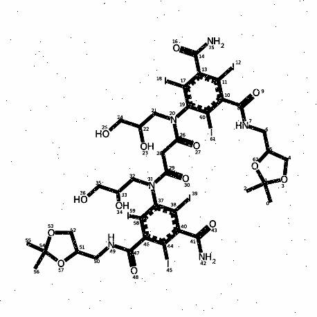 CC1(C)OCC(CNC(=O)c2c(I)c(C(N)=O)c(I)c(N(CC(O)CO)C(=O)CC(=O)N(CC(O)CO)c3c(I)c(C(N)=O)c(I)c(C(=O)NCC4COC(C)(C)O4)c3I)c2I)O1